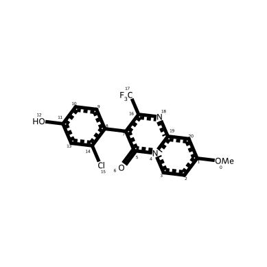 COc1ccn2c(=O)c(-c3ccc(O)cc3Cl)c(C(F)(F)F)nc2c1